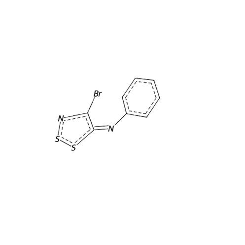 Brc1nss/c1=N/c1ccccc1